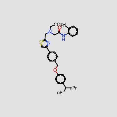 CCCC(CCC)c1ccc(OCc2ccc(-c3csc(CN(CC(=O)O)CC(=O)Nc4ccccc4C(C)C)n3)cc2)cc1